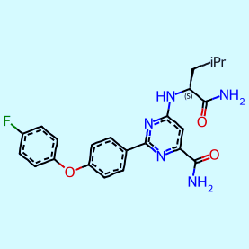 CC(C)C[C@H](Nc1cc(C(N)=O)nc(-c2ccc(Oc3ccc(F)cc3)cc2)n1)C(N)=O